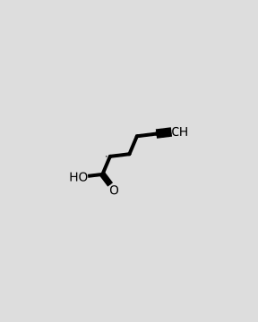 C#CCC[CH]C(=O)O